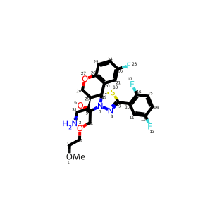 COCCOCC(=O)N1N=C(c2cc(F)ccc2F)S[C@]12c1cc(F)ccc1OC[C@@H]2CCN